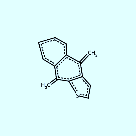 C=c1c2ccccc2c(=C)c2sccc12